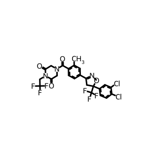 Cc1cc(C2=NOC(c3ccc(Cl)c(Cl)c3)(C(F)(F)F)C2)ccc1C(=O)N1CC(=O)N(CC(F)(F)F)C(=O)C1